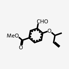 C=CC(C)Oc1ccc(C(=O)OC)cc1C=O